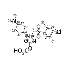 Cc1cc(S(=O)(=O)CC2=NC(OC(=O)O)ON2C2CCC(N(C)C)CC2)c(C)cc1Cl